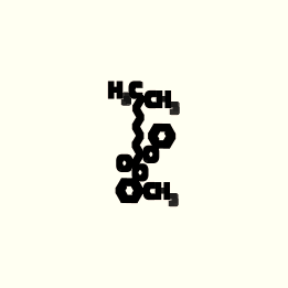 Cc1ccccc1OC(=O)C(CCCCCC(C)C)Oc1ccccc1